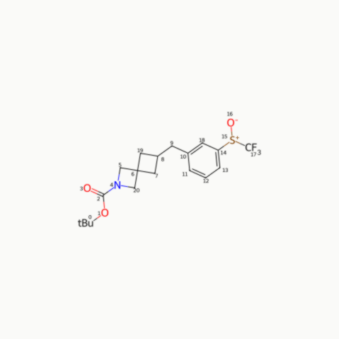 CC(C)(C)OC(=O)N1CC2(CC(Cc3cccc([S+]([O-])C(F)(F)F)c3)C2)C1